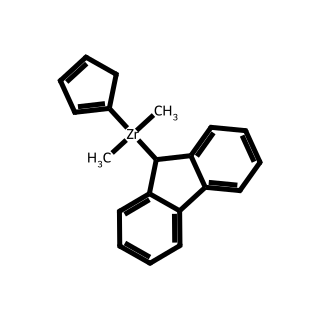 [CH3][Zr]([CH3])([C]1=CC=CC1)[CH]1c2ccccc2-c2ccccc21